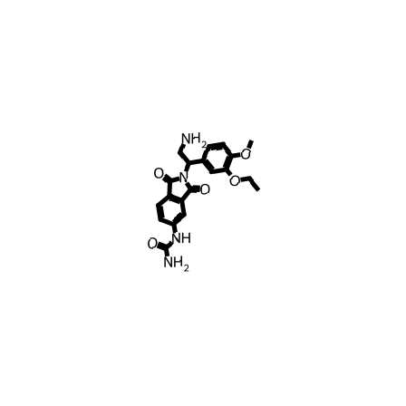 CCOc1cc(C(CN)N2C(=O)c3ccc(NC(N)=O)cc3C2=O)ccc1OC